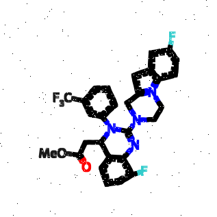 COC(=O)CC1c2cccc(F)c2N=C(N2CCn3c(cc4cc(F)ccc43)C2)N1c1cccc(C(F)(F)F)c1